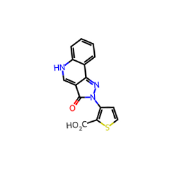 O=C(O)c1sccc1-n1nc2c3ccccc3[nH]cc-2c1=O